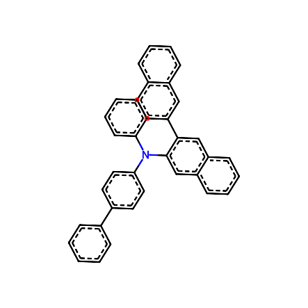 c1ccc(-c2ccc(N(c3ccccc3)c3cc4ccccc4cc3-c3ccc4ccccc4c3)cc2)cc1